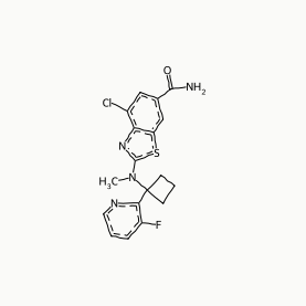 CN(c1nc2c(Cl)cc(C(N)=O)cc2s1)C1(c2ncccc2F)CCC1